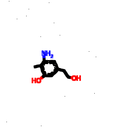 Cc1c(N)cc(CCO)cc1O